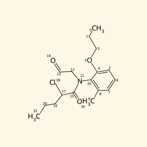 CCCOc1cccc(C)c1N(CC=O)C(=O)C(Cl)CCC